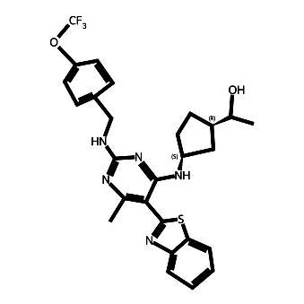 Cc1nc(NCc2ccc(OC(F)(F)F)cc2)nc(N[C@H]2CC[C@@H](C(C)O)C2)c1-c1nc2ccccc2s1